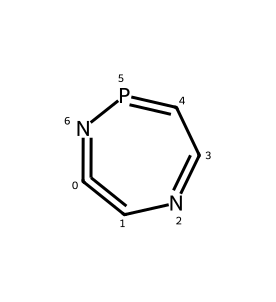 C1=CN=CC=PN=1